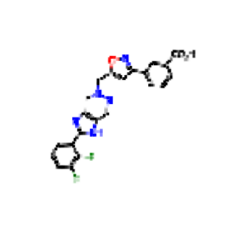 O=C(O)c1cccc(-c2cc(CN3Cc4nc(-c5cccc(F)c5F)[nH]c4C=N3)on2)c1